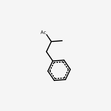 [CH2]C(=O)C(C)Cc1ccccc1